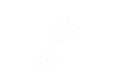 O=C(SCCC(F)(F)C(F)(F)C(F)(F)C(F)CF)c1ccccc1